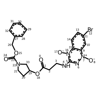 O=C(CCNc1n[n+]([O-])c2cc(Br)ccc2[n+]1[O-])OC1CCN(C(=O)OCc2ccccc2)C1